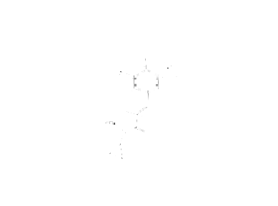 CC(C)(C)c1cc(/C=C2\SC(=S)N(C3CC3)C2=O)cc(C(C)(C)C)c1O